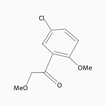 COCC(=O)c1cc(Cl)ccc1OC